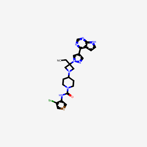 N#CCC1(n2cc(-c3ncnc4[nH]ccc34)cn2)CN(C2CCN(C(=O)Nc3cscc3Br)CC2)C1